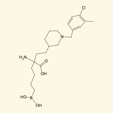 Cc1cc(CN2CCCC(CCC(N)(CCCCB(O)O)C(=O)O)C2)ccc1Cl